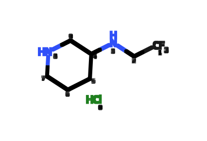 Cl.FC(F)(F)CNC1CCCNC1